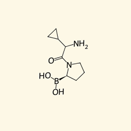 NC(C(=O)N1CCC[C@H]1B(O)O)C1CC1